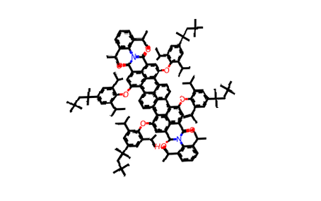 CC(C)c1cc(C(C)(C)CC(C)(C)C)cc(C(C)C)c1Oc1cc2c3c(cc(Oc4c(C(C)C)cc(C(C)(C)CC(C)(C)C)cc4C(C)C)c4c5ccc6c7c(Oc8c(C(C)C)cc(C(C)(C)CC(C)(C)C)cc8C(C)C)cc8c9c(cc(Oc%10c(C(C)C)cc(C(C)(C)CC(C)(C)C)cc%10C(C)C)c(c%10ccc(c1c34)c5c%106)c97)C(=O)N(c1c(C(C)C)cccc1C(C)C)C8O)C(=O)N(c1c(C(C)C)cccc1C(C)C)C2=O